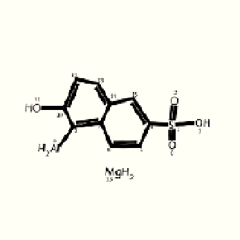 O=S(=O)(O)c1ccc2[c]([AlH2])c(O)ccc2c1.[MgH2]